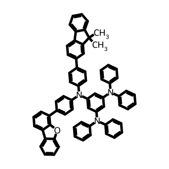 CC1(C)c2ccccc2-c2ccc(-c3ccc(N(c4ccc(-c5cccc6c5oc5ccccc56)cc4)c4cc(N(c5ccccc5)c5ccccc5)cc(N(c5ccccc5)c5ccccc5)c4)cc3)cc21